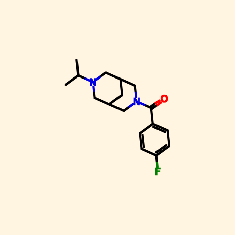 CC(C)N1CC2CC(CN(C(=O)c3ccc(F)cc3)C2)C1